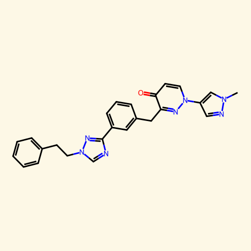 Cn1cc(-n2ccc(=O)c(Cc3cccc(-c4ncn(CCc5ccccc5)n4)c3)n2)cn1